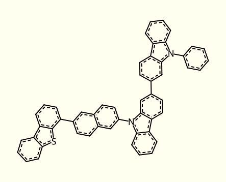 c1ccc(-n2c3ccccc3c3ccc(-c4ccc5c6ccccc6n(-c6ccc7cc(-c8cccc9c8sc8ccccc89)ccc7c6)c5c4)cc32)cc1